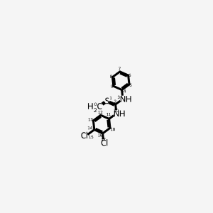 C=S=C(Nc1ccccc1)Nc1ccc(Cl)c(Cl)c1